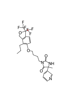 CCCc1c(OCCCCN2C(=O)NC(C)(c3cccnc3)C2=O)ccc2c1COC2(C(F)(F)F)C(F)(F)F